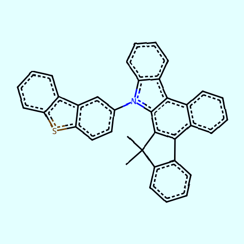 CC1(C)c2ccccc2-c2c1c1c(c3ccccc23)c2ccccc2n1-c1ccc2sc3ccccc3c2c1